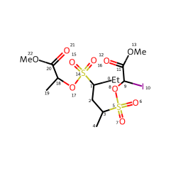 CCC(CC(C)S(=O)(=O)OC(I)C(=O)OC)S(=O)(=O)OC(C)C(=O)OC